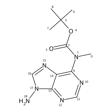 CN(C(=O)OC(C)(C)C)c1ncnc2c1ncn2N